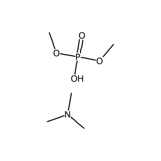 CN(C)C.COP(=O)(O)OC